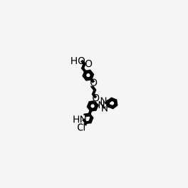 O=C(O)Cc1ccc(OCCCOc2ccc(C3=CNC(Cl)C=C3)cc2-n2nc3ccccc3n2)cc1